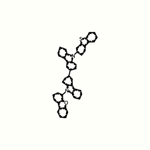 c1ccc2c(c1)oc1c(-n3c4ccccc4c4cc(-c5ccc6c(c5)c5ccccc5n6-c5ccc6c(c5)sc5ccccc56)ccc43)cccc12